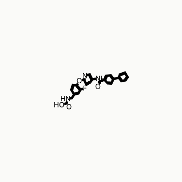 O=C(O)NCc1ccc(Oc2ccc(NC(=O)c3ccc(-c4ccccc4)cc3)cn2)c(F)c1